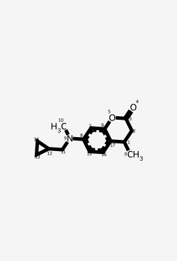 CC1CC(=O)Oc2cc(N(C)CC3CC3)ccc21